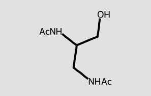 CC(=O)NCC(CO)NC(C)=O